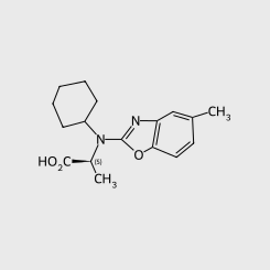 Cc1ccc2oc(N(C3CCCCC3)[C@@H](C)C(=O)O)nc2c1